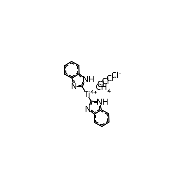 C.[Cl-].[Cl-].[Cl-].[Cl-].c1ccc2[nH][c]([Ti+4][c]3nc4ccccc4[nH]3)nc2c1